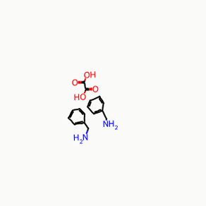 NCc1ccccc1.NCc1ccccc1.O=C(O)C(=O)O